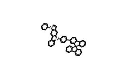 c1ccc(-n2ccc3cc4c(cc32)c2ccccc2n4-c2ccc(-c3ccc4c(c3)C3(c5ccccc5-c5ccccc53)c3ccccc3-4)cc2)cc1